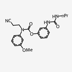 CCCNC(=O)Nc1cccc(OC(=O)N(CCC#N)c2cccc(OC)c2)c1